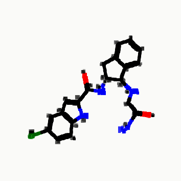 NC(=O)CN[C@@H]1c2ccccc2C[C@H]1NC(=O)c1cc2cc(Cl)ccc2[nH]1